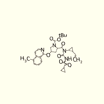 C=CC1CC1N(C(=O)NS(=O)(=O)C1CC1)C(=O)C1CC(Oc2nccc3c(C)cccc23)CN1C(=O)OC(C)(C)C